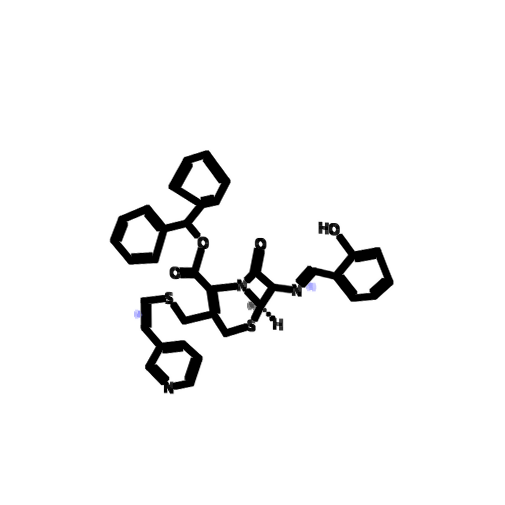 O=C(OC(c1ccccc1)c1ccccc1)C1=C(CS/C=C\c2cccnc2)CS[C@@H]2C(/N=C/c3ccccc3O)C(=O)N12